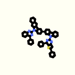 c1ccc(-c2cc3nc(-n4c5ccccc5c5ccc(-c6ccc7c(c6)c6cc8ccccc8cc6n7-c6nc(-c7ccccc7)c7ccccc7n6)cc54)nc(-c4ccccc4)c3s2)cc1